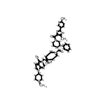 Cc1ccc(-c2nc(C)c(C(=O)N3CC[C@@H](C(=O)N4CCC(O)(Cn5cnc6c(ccn6C6CCN(C)CC6)c5=O)CC4)[C@H](c4ccccc4)C3)s2)cn1